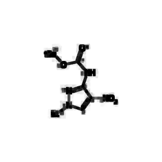 [CH2]Cn1cc([N+](=O)[O-])c(NC(=O)OC(C)(C)C)n1